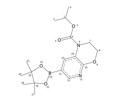 CC(C)OC(=O)N1CCOc2ncc(B3OC(C)(C)C(C)(C)O3)cc21